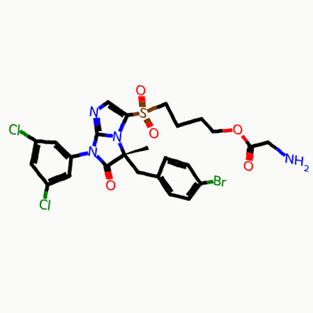 C[C@@]1(Cc2ccc(Br)cc2)C(=O)N(c2cc(Cl)cc(Cl)c2)c2ncc(S(=O)(=O)CCCCOC(=O)CN)n21